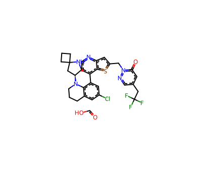 O=CO.O=c1cc(CC(F)(F)F)cnn1Cc1cc2nccc(-c3cc(Cl)cc4c3N([C@@H]3CNC5(CCC5)C3)CCC4)c2s1